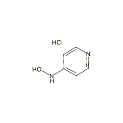 Cl.ONc1ccncc1